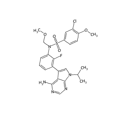 COCN(c1cccc(-c2cn(C(C)C)c3ncnc(N)c23)c1F)S(=O)(=O)c1ccc(OC)c(Cl)c1